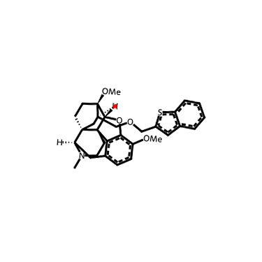 COc1ccc2c3c1O[C@H]1[C@@]4(OC)CC[C@@]5(C[C@]4(C)COCc4cc6ccccc6s4)[C@@H](C2)N(C)CC[C@]315